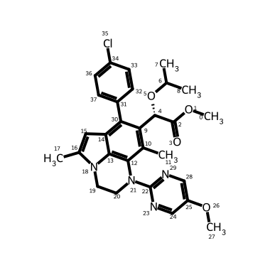 COC(=O)[C@@H](OC(C)C)c1c(C)c2c3c(cc(C)n3CCN2c2ncc(OC)cn2)c1-c1ccc(Cl)cc1